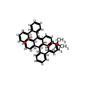 CC(C)(C)c1ccc2c(-c3ccccc3-c3ccccc3)c3ccccc3c(-c3ccccc3-c3ccccc3)c2c1